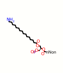 CCCCCCCCCC(=O)O[C@@H](COP=O)COC(=O)CCCCCCCCCCCCCCCN